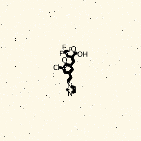 O=C(O)C1=Cc2cc(/C=C/n3ccnc3)cc(Cl)c2OC1C(F)(F)F